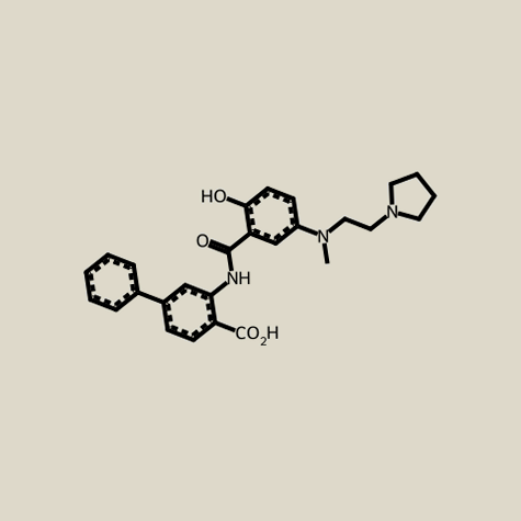 CN(CCN1CCCC1)c1ccc(O)c(C(=O)Nc2cc(-c3ccccc3)ccc2C(=O)O)c1